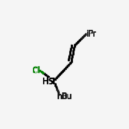 CCCC[SiH](Cl)C=CC(C)C